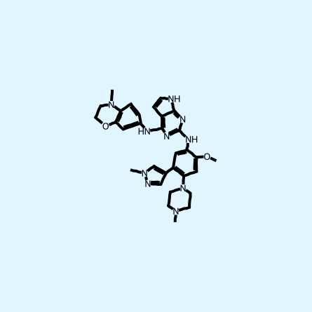 COc1cc(N2CCN(C)CC2)c(-c2cnn(C)c2)cc1Nc1nc(Nc2ccc3c(c2)OCCN3C)c2cc[nH]c2n1